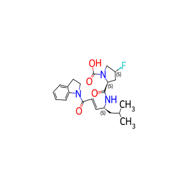 CC(C)C[C@@H](C=CC(=O)N1CCc2ccccc21)NC(=O)[C@@H]1C[C@H](F)CN1C(=O)O